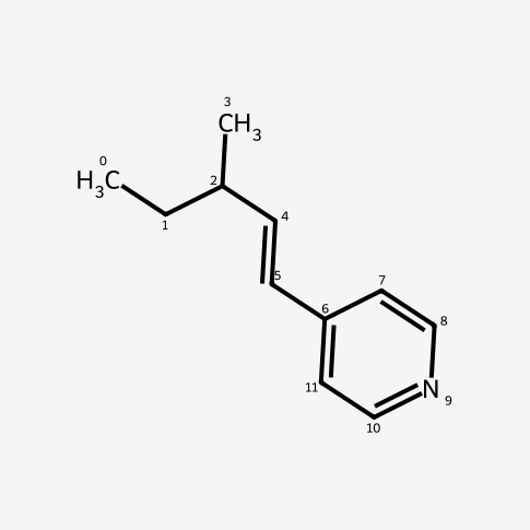 CCC(C)/C=C/c1ccncc1